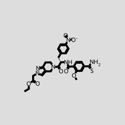 CCOC(=O)Cn1cc2c(n1)CCN(C(=O)[C@H](Cc1ccc([N+](=O)[O-])cc1)NC(=O)c1ccc(C(N)=S)cc1OC)C2